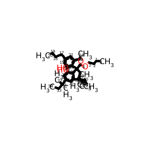 CCCCOC(=O)C(CCCC)(c1c(O)cc(CCCC)cc1CC)c1c(O)cc(C(C)(C)CC)cc1C(C)(C)CC